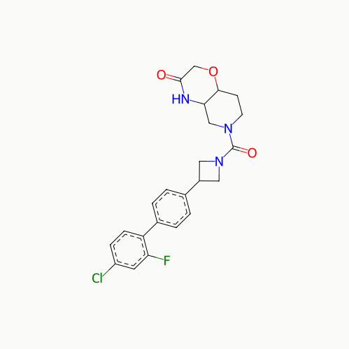 O=C1COC2CCN(C(=O)N3CC(c4ccc(-c5ccc(Cl)cc5F)cc4)C3)CC2N1